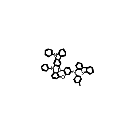 Cc1ccc(N(c2ccc3c(c2)Oc2cccc4c2B3c2cc3c5ccccc5n(-c5ccccc5)c3cc2N4c2ccccc2)c2cccc3c2sc2ccccc23)cc1